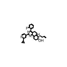 C=CCC[C@H]1[C@H](O)CC[C@@]2(C)c3nc(-c4ccnc(C5CC5)c4)nc(-c4ccccc4F)c3CC[C@H]12